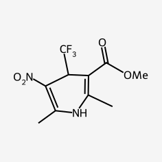 COC(=O)C1=C(C)NC(C)=C([N+](=O)[O-])C1C(F)(F)F